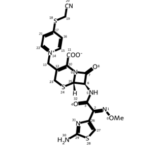 CON=C(C(=O)N[C@@H]1C(=O)N2C(C(=O)[O-])=C(C[n+]3ccc(SCC#N)cc3)CS[C@@H]12)c1csc(N)n1